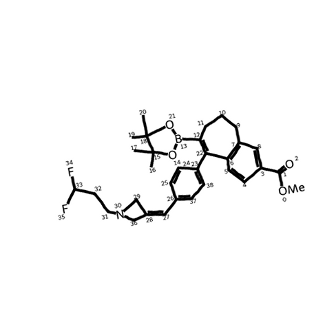 COC(=O)c1ccc2c(c1)CCCC(B1OC(C)(C)C(C)(C)O1)=C2c1ccc(C=C2CN(CCC(F)F)C2)cc1